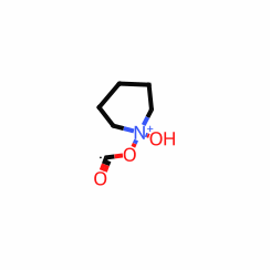 O=[C]O[N+]1(O)CCCCC1